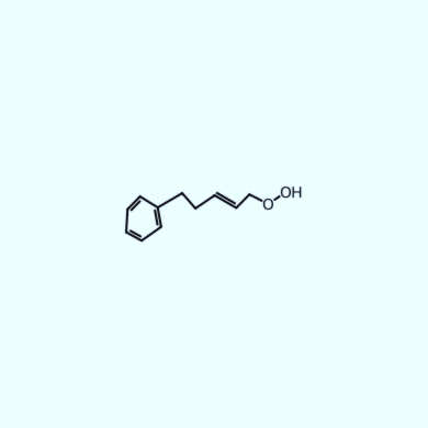 OOCC=CCCc1ccccc1